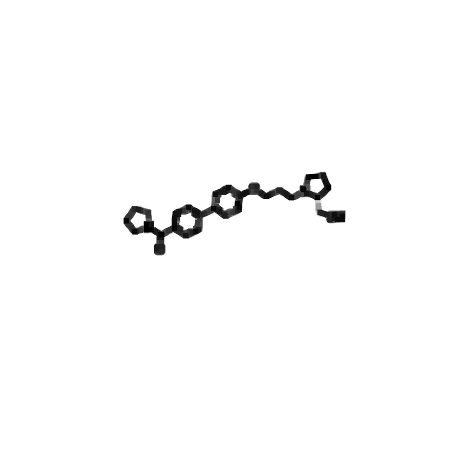 O=C(c1ccc(-c2ccc(OCCCN3CCC[C@@H]3CO)cc2)cc1)N1CCCC1